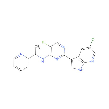 CC(Nc1nc(-c2c[nH]c3ncc(Cl)cc23)ncc1F)c1ccccn1